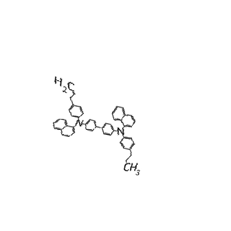 C=CCc1ccc(N(c2ccc(-c3ccc(N(c4ccc(CCC)cc4)c4cccc5ccccc45)cc3)cc2)c2cccc3ccccc23)cc1